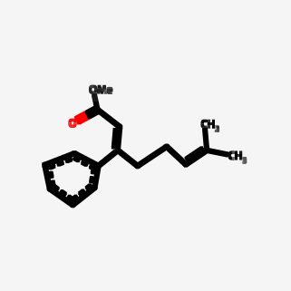 COC(=O)/C=C(/CCC=C(C)C)c1ccccc1